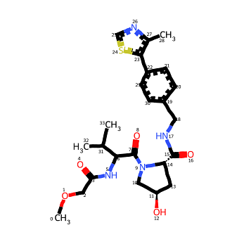 COCC(=O)NC(C(=O)N1C[C@H](O)C[C@H]1C(=O)NCc1ccc(-c2scnc2C)cc1)C(C)C